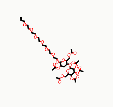 C=CCOCCOCCOCCOCCOCCOCCO[C@@H]1OC(COC(C)=O)[C@@H](O[C@@H]2OC(COC(C)=O)[C@H](OC(C)=O)C(OC(C)=O)C2OC(C)=O)CC1OC(C)=O